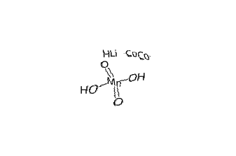 [Co].[Co].[LiH].[O]=[Mn](=[O])([OH])[OH]